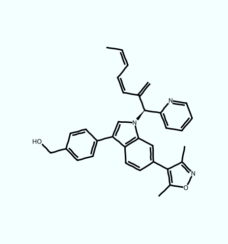 C=C(/C=C\C=C/C)[C@@H](c1ccccn1)n1cc(-c2ccc(CO)cc2)c2ccc(-c3c(C)noc3C)cc21